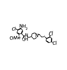 COc1cc(Cl)c(N)cc1C(=O)NCC1CCN(CC[CH]c2ccc(Cl)cc2Cl)CC1